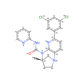 O=C(Nc1ccccn1)N1c2nc(-c3cc(Cl)cc(Cl)c3)ccc2N2CC[C@H]1C2